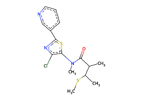 CSC(C)C(C)C(=O)N(C)c1sc(-c2cccnc2)nc1Cl